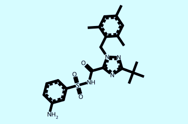 Cc1cc(C)c(Cn2nc(C(C)(C)C)nc2C(=O)NS(=O)(=O)c2cccc(N)c2)c(C)c1